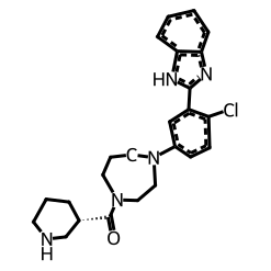 O=C([C@H]1CCCNC1)N1CCCN(c2ccc(Cl)c(-c3nc4ccccc4[nH]3)c2)CC1